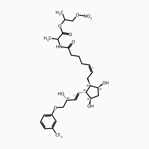 CC(CO[N+](=O)[O-])OC(=O)C(C)NC(=O)CCC/C=C\C[C@@H]1[C@@H](/C=C/[C@@H](O)COc2cccc(C(F)(F)F)c2)[C@H](O)C[C@@H]1O